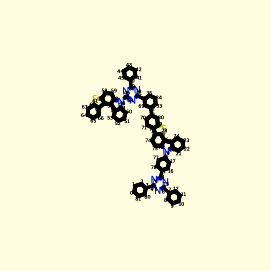 c1ccc(-c2nc(-c3ccccc3)nc(-c3ccc(-n4c5ccccc5c5c6sc7cc(-c8cccc(-c9nc(-c%10ccccc%10)nc(-n%10c%11ccccc%11c%11c%12c(ccc%11%10)sc%10ccccc%10%12)n9)c8)ccc7c6ccc54)cc3)n2)cc1